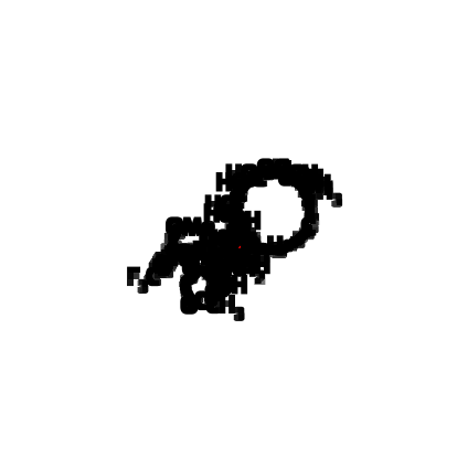 CC1CC2OC2/C=C\C=C\C(=O)Cc2c(Cl)c(O)cc(O)c2C(=O)O1.COCCCC/C(=N\OCCN)c1ccc(C(F)(F)F)cc1.C[C@@H]1[C@H](O)[C@@H](C)/C=C/C=C/CC/C=C/C=C/C=C/C=C/[C@H](O[C@@H]2O[C@H](C)[C@@H](O)[C@H](N)[C@@H]2O)C[C@@H]2O[C@](O)(C[C@@H](O)[C@H](O)CC[C@@H](O)C[C@@H](O)C[C@@H](O)CC(=O)O[C@H]1C)C[C@H](O)[C@H]2C(=O)O